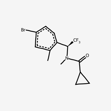 Cc1cc(Br)ccc1[C@H](N(C)C(=O)C1CC1)C(F)(F)F